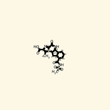 Cc1c(C(=O)O)nc2c(=O)[nH]c3c(n12)Cc1c(C(=O)NS(C)(=O)=O)cccc1-3